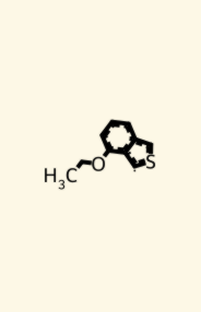 CCOc1cccc2cs[c]c12